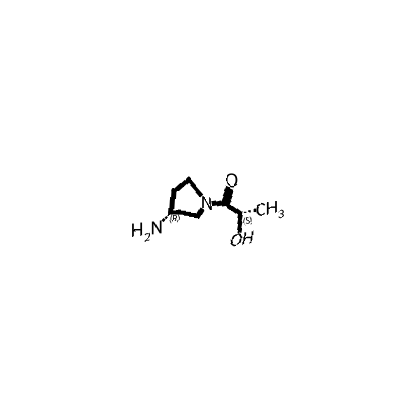 C[C@H](O)C(=O)N1CC[C@@H](N)C1